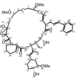 CO[C@@H]1CCC[C@@H](OC)C[C@@H](C)C(O)(O)C(=O)C(=O)N2CCCC[C@H]2C(=O)O[C@H](/C(C)=C/[C@@H]2CC[C@@H](O)[C@H](OC)C2)[C@H](C)[C@@H](O)CC(=O)[C@H](C/C=C/c2ccccn2)/C=C(\C)C1